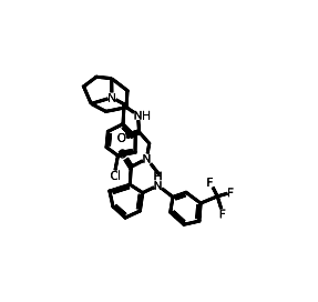 CN(CC(=O)NC1CC2CCC(C1)N2Cc1ccc(Cl)cc1)C(=O)c1ccccc1Nc1cccc(C(F)(F)F)c1